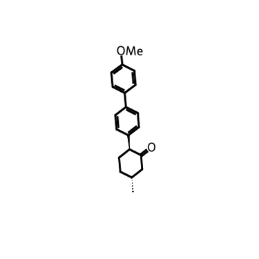 COc1ccc(-c2ccc([C@@H]3CC[C@@H](C)CC3=O)cc2)cc1